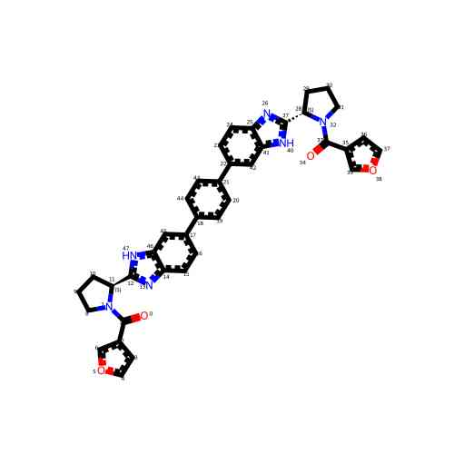 O=C(c1ccoc1)N1CCC[C@H]1c1nc2ccc(-c3ccc(-c4ccc5nc([C@@H]6CCCN6C(=O)c6ccoc6)[nH]c5c4)cc3)cc2[nH]1